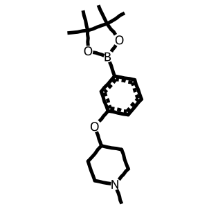 CN1CCC(Oc2cccc(B3OC(C)(C)C(C)(C)O3)c2)CC1